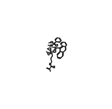 C=C(C)C(=O)OCCC[Si](OC)(OC)O[Si](C)(O[Si](OC)(OC)c1ccccc1)c1c2ccccc2cc2ccccc12